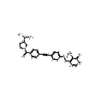 CN(C)C1CCN(C(=O)c2ccc(C#Cc3ccc(NCc4nc[nH]c(=O)c4O)cc3)cc2)C1